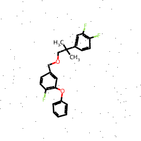 CC(C)(COCc1ccc(F)c(Oc2ccccc2)c1)c1ccc(F)c(F)c1